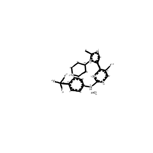 Cc1ncc(-c2nc(Nc3ccc(C(F)(F)F)cc3)ncc2F)n1C1CCOCC1.Cl